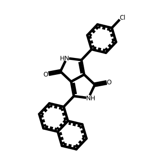 O=C1NC(c2cccc3ccccc23)=C2C(=O)NC(c3ccc(Cl)cc3)=C12